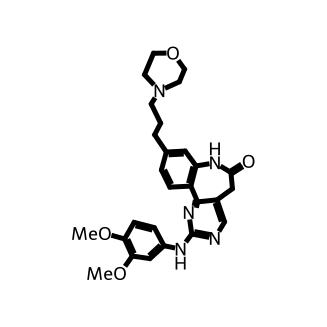 COc1ccc(Nc2ncc3c(n2)-c2ccc(CCCN4CCOCC4)cc2NC(=O)C3)cc1OC